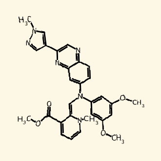 COC(=O)C1=CC=CN(C)/C1=C\N(c1cc(OC)cc(OC)c1)c1ccc2ncc(-c3cnn(C)c3)nc2c1